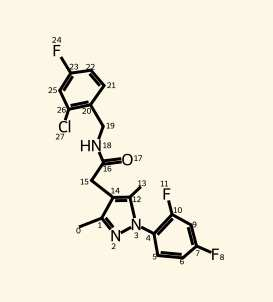 Cc1nn(-c2ccc(F)cc2F)c(C)c1CC(=O)NCc1ccc(F)cc1Cl